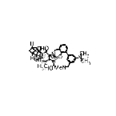 CNCc1cc(-c2cccc(CN3O[C@@H](CO)[C@@H]([C@H](C)O)[C@H]3C(=O)N[C@H]3C[C@H]4C[C@@H]([C@@H]3C)C4(C)C)c2OC)cc(N(C)C)c1